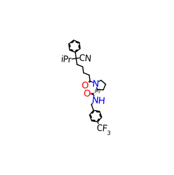 CC(C)C(C#N)(CCCCC(=O)N1CCC[C@@H]1C(=O)NCc1ccc(C(F)(F)F)cc1)c1ccccc1